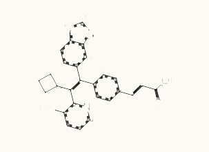 Cc1cccnc1/C(=C(\c1ccc(/C=C/C(=O)O)cc1)c1ccc2scnc2c1)C1CCC1